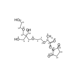 CC(OCCOCC(CO)(CO)COCCO)C(=O)ON1C(=O)CCC1=O